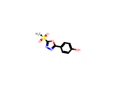 CS(=O)(=O)c1nnc(-c2ccc(O)cc2)o1